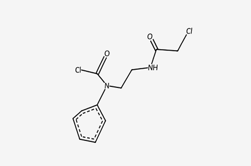 O=C(CCl)NCCN(C(=O)Cl)c1ccccc1